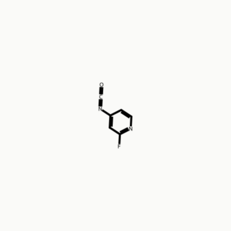 O=C=Nc1ccnc(F)c1